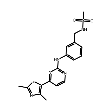 Cc1nc(C)c(-c2ccnc(Nc3cccc(CNS(C)(=O)=O)c3)n2)s1